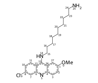 COc1ccc2nc3cc(Cl)ccc3c(NCCCCCCCCCCN)c2c1